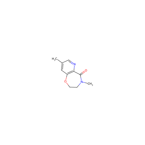 Cc1cnc2c(c1)OCCN(C)C2=O